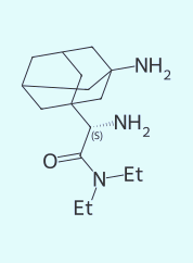 CCN(CC)C(=O)[C@@H](N)C12CC3CC(CC(N)(C3)C1)C2